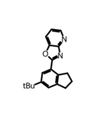 CC(C)(C)c1cc2c(c(-c3nc4ncccc4o3)c1)CCC2